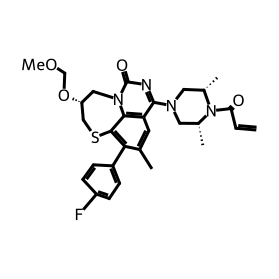 C=CC(=O)N1[C@H](C)CN(c2nc(=O)n3c4c(c(-c5ccc(F)cc5)c(C)cc24)SC[C@H](OCOC)C3)C[C@@H]1C